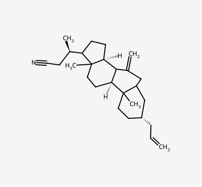 C=CC[C@@H]1CCC2(C)C(CC(=C)C3[C@@H]2CCC2(C)C([C@H](C)CC#N)CC[C@@H]32)C1